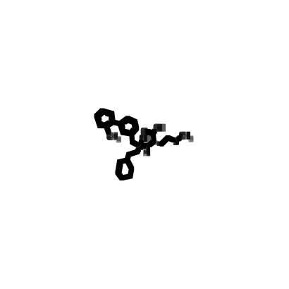 CSCC[C@H](N[N+](C)(CCC1C=CCCC1)Cc1cccc(-c2ccccc2C)c1)C(=O)O